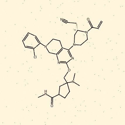 C=CC(=O)N1CCN(c2nc(OCC3(N(C)C)CCC(C(=O)NC)C3)nc3c2CCN(c2ccccc2Cl)C3)C[C@@H]1CC#N